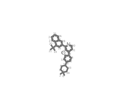 CC1(C)CCC(c2ccc3c(c2)oc2c(-c4cc(C(C)(C)C)c5ccccc5c4)nccc23)CC1